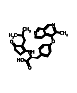 Cc1ncc2cnccc2c1Oc1ccc(C[C@H](NC2=C(CC(C)C)C(=O)CC2)C(=O)O)cc1